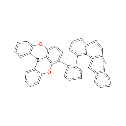 c1ccc2c(c1)Oc1ccc(-c3ccccc3-c3cccc4ccc5cc6ccccc6cc5c34)c3c1B2c1ccccc1O3